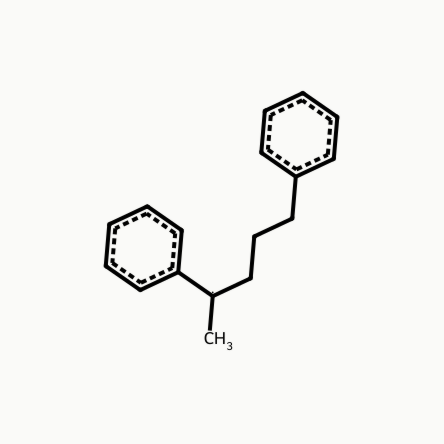 C[C](CCCc1ccccc1)c1ccccc1